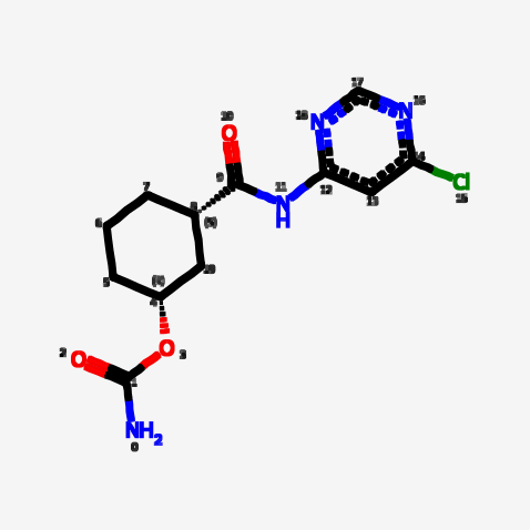 NC(=O)O[C@@H]1CCC[C@H](C(=O)Nc2cc(Cl)ncn2)C1